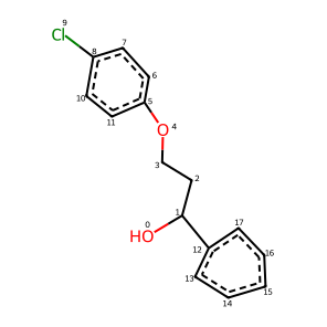 OC(CCOc1ccc(Cl)cc1)c1ccccc1